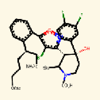 COCCC[C@H](CNC(C)=O)c1ccccc1-c1onc([C@H]2C(C(C)(C)C)N(C(=O)O)CC[C@]2(O)c2ccc(F)c(F)c2)c1Br